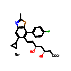 Cc1nc2cc(C3CC3)c(/C=C/[C@@H](O)C[C@@H](O)CC(=O)[O-])c(-c3ccc(F)cc3)c2s1.[Na+]